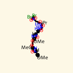 COc1ccc(C2=CN3C(=O)c4cc(OC)c(OCCCOc5cc6c(cc5OC)C(=O)N5C=C(c7ccc(NC(=O)C(C)NC(=O)C(NC(=O)CCCCCN8C(=O)C(Br)=C(Br)C8=O)C(C)C)cc7)C[C@H]5C=N6)cc4N=C[C@@H]3C2)cc1